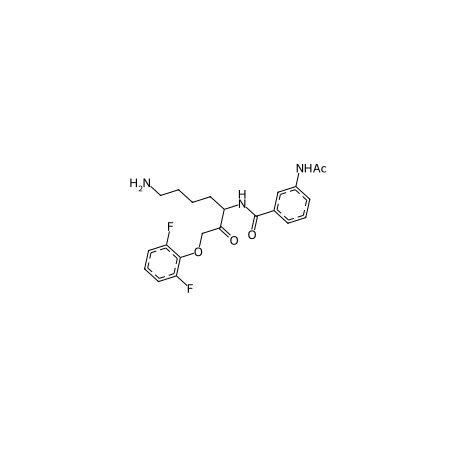 CC(=O)Nc1cccc(C(=O)NC(CCCCN)C(=O)COc2c(F)cccc2F)c1